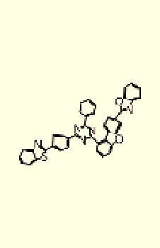 c1ccc(-c2nc(-c3ccc(-c4nc5ccccc5s4)cc3)nc(-c3cccc4oc5cc(-c6nc7ccccc7o6)ccc5c34)n2)cc1